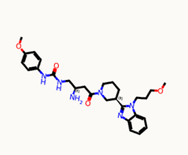 COCCCn1c([C@@H]2CCCN(C(=O)C[C@@H](N)CNC(=O)Nc3ccc(OC)cc3)C2)nc2ccccc21